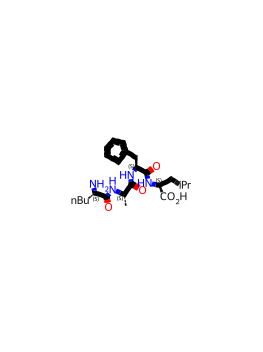 CCCC[C@H](N)C(=O)N[C@@H](C)C(=O)N[C@@H](Cc1ccccc1)C(=O)N[C@@H](CC(C)C)C(=O)O